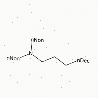 CCCCCCCCCCCCCN(CCCCCCCCC)CCCCCCCCC